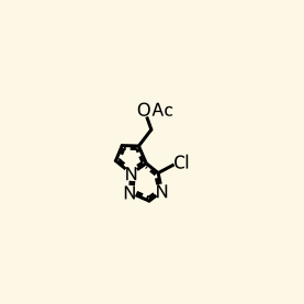 CC(=O)OCc1ccn2ncnc(Cl)c12